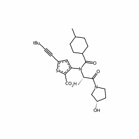 CC1CCC(C(=O)N(c2cc(C#CC(C)(C)C)sc2C(=O)O)[C@@H](C)C(=O)N2CC[C@H](O)C2)CC1